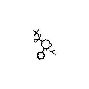 COC[C@H]1OCCN(C(=O)OC(C)(C)C)CC1c1ccccc1